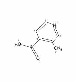 C.O=C(O)c1ccncc1